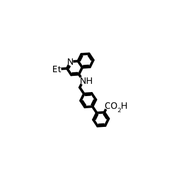 CCc1cc(NCc2ccc(-c3ccccc3C(=O)O)cc2)c2ccccc2n1